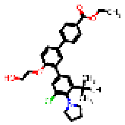 CCOC(=O)c1ccc(-c2ccc(OCCO)c(-c3cc(Cl)c(N4CCCC4)c(C(C)(C)C)c3)c2)cc1